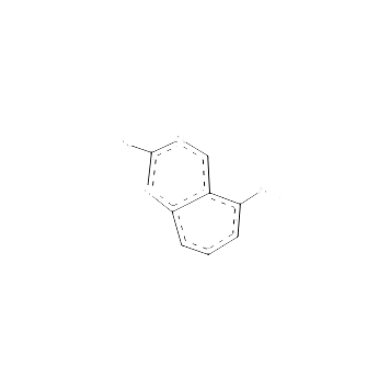 Nc1ncc2c(N)cccc2n1